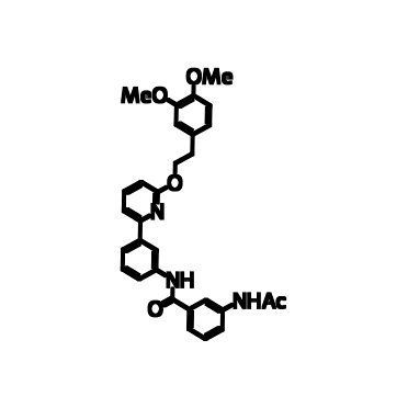 COc1ccc(CCOc2cccc(-c3cccc(NC(=O)c4cccc(NC(C)=O)c4)c3)n2)cc1OC